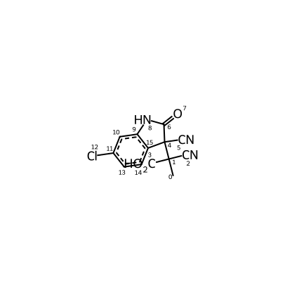 CC(C#N)(C(=O)O)C1(C#N)C(=O)Nc2cc(Cl)ccc21